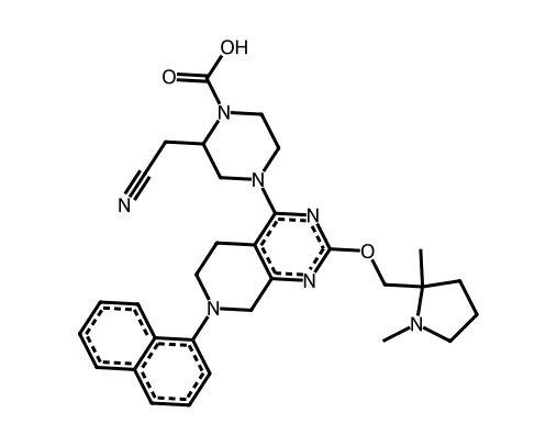 CN1CCCC1(C)COc1nc2c(c(N3CCN(C(=O)O)C(CC#N)C3)n1)CCN(c1cccc3ccccc13)C2